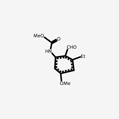 CCc1cc(OC)cc(NC(=O)OC)c1C=O